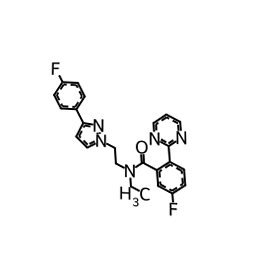 CCN(CCn1ccc(-c2ccc(F)cc2)n1)C(=O)c1cc(F)ccc1-c1ncccn1